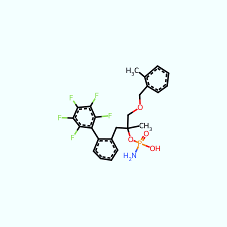 Cc1ccccc1COCC(C)(Cc1ccccc1-c1c(F)c(F)c(F)c(F)c1F)OP(N)(=O)O